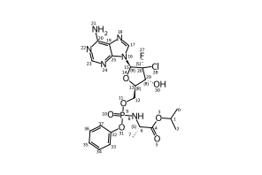 CC(C)OC(=O)[C@H](C)NP(=O)(OC[C@H]1O[C@@H](n2cnc3c(N)ncnc32)[C@@](F)(Cl)[C@@H]1O)Oc1ccccc1